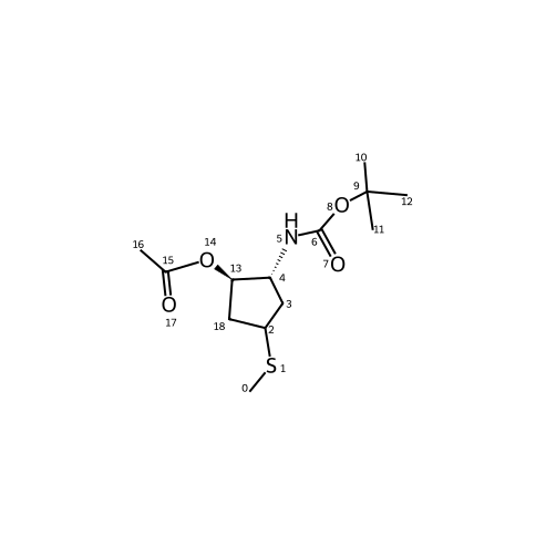 CSC1C[C@@H](NC(=O)OC(C)(C)C)[C@H](OC(C)=O)C1